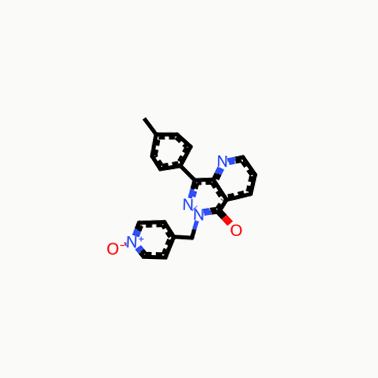 Cc1ccc(-c2nn(Cc3cc[n+]([O-])cc3)c(=O)c3cccnc23)cc1